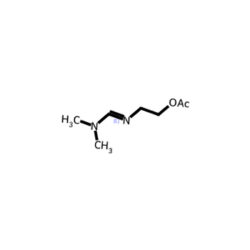 CC(=O)OCC/N=C/N(C)C